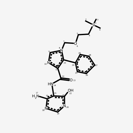 C[Si](C)(C)CCOCn1cnc(C(=O)Nc2c(N)ncnc2O)c1-c1ccccc1